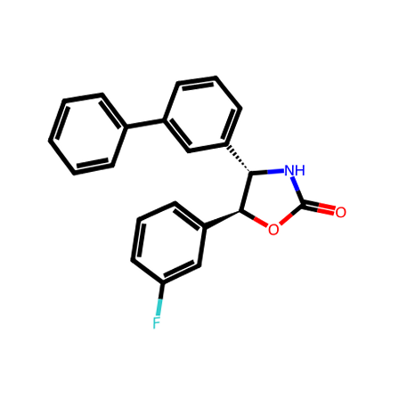 O=C1N[C@@H](c2cccc(-c3ccccc3)c2)[C@H](c2cccc(F)c2)O1